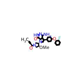 CC#CC(=O)N1C[C@H](OC)[C@@H](n2cc(-c3ccc(Oc4ccccc4F)cc3)c3c(N)n[nH]c(=O)c32)C1